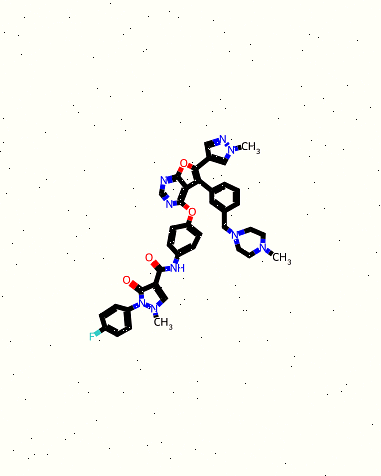 CN1CCN(Cc2cccc(-c3c(-c4cnn(C)c4)oc4ncnc(Oc5ccc(NC(=O)c6cn(C)n(-c7ccc(F)cc7)c6=O)cc5)c34)c2)CC1